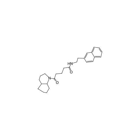 O=C(CCCC(=O)N1CCCC2CCCCC21)NCCc1ccc2ccccc2c1